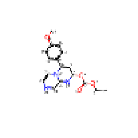 CCOC(=O)OC1CC(c2ccc(OC)cc2)N2C=CN=CC2=N1